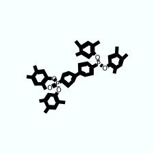 Cc1cc(C)c(OP(Oc2cc(C)c(C)cc2C)c2ccc(-c3ccc(P(=O)(Oc4cc(C)c(C)cc4C)Oc4cc(C)c(C)cc4C)cc3)cc2)cc1C